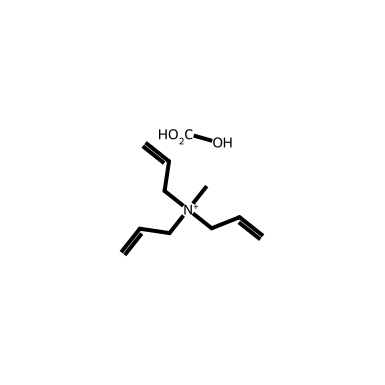 C=CC[N+](C)(CC=C)CC=C.O=C(O)O